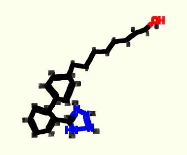 OCCCCCCCCc1ccc(-c2ccccc2-c2nnn[nH]2)cc1